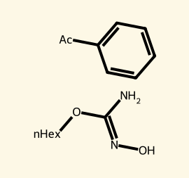 CC(=O)c1ccccc1.CCCCCCOC(N)=NO